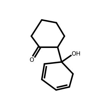 O=C1CCCCC1C1(O)C=CC=CC1